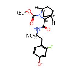 CC(C)(C)OC(=O)N1[C@@H]2CC[C@@H](C2)[C@H]1C(=O)N[C@H](C#N)Cc1ccc(Br)cc1F